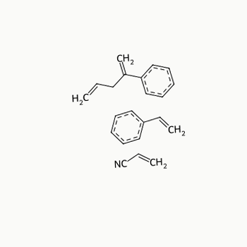 C=CC#N.C=CCC(=C)c1ccccc1.C=Cc1ccccc1